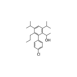 CCCc1c(C(C)C)cc(C(C)C)c(C(C)O)c1-c1ccc(Cl)cc1